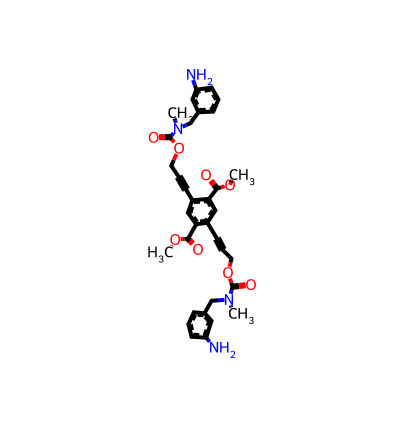 COC(=O)c1cc(C#CCOC(=O)N(C)Cc2cccc(N)c2)c(C(=O)OC)cc1C#CCOC(=O)N(C)Cc1cccc(N)c1